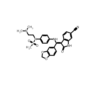 CN(C)CCN(c1ccc(NC(=C2C(=O)Nc3cc(C#N)ccc32)c2ccc3c(c2)OCO3)cc1)S(C)(=O)=O